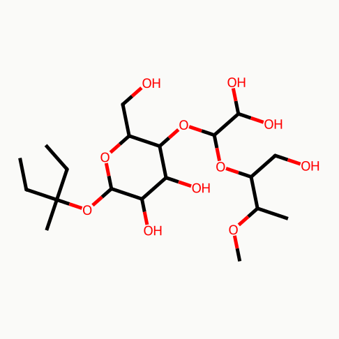 CCC(C)(CC)OC1OC(CO)C(OC(OC(CO)C(C)OC)C(O)O)C(O)C1O